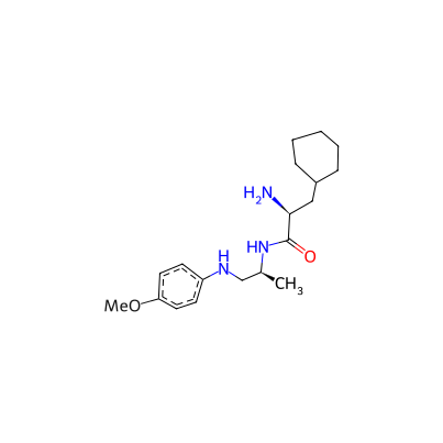 COc1ccc(NC[C@H](C)NC(=O)[C@@H](N)CC2CCCCC2)cc1